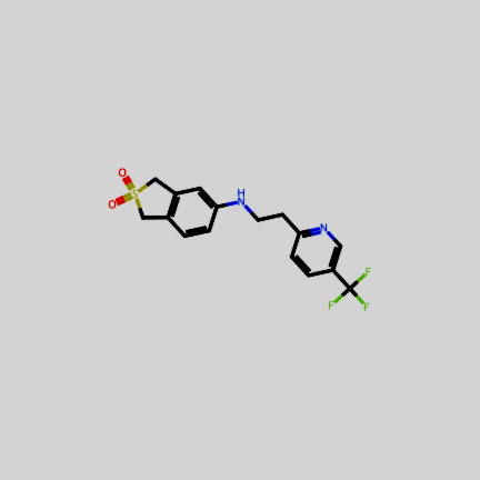 O=S1(=O)Cc2ccc(NCCc3ccc(C(F)(F)F)cn3)cc2C1